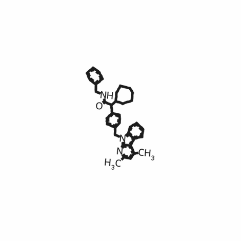 Cc1cc(C)c2c3ccccc3n(Cc3ccc(C(C(=O)NCc4ccccc4)C4CCCCCC4)cc3)c2n1